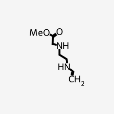 C=CNCCNCC(=O)OC